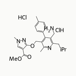 COC(=O)c1cn(C)nc1OCc1c(C)nc(CC(C)C)c(CN)c1-c1ccc(C)cc1.Cl.Cl